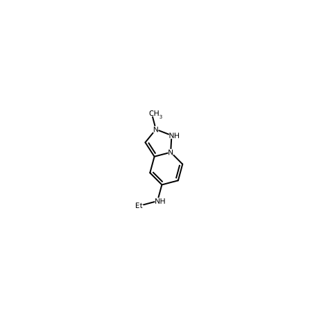 CCNC1=CC2=CN(C)NN2C=C1